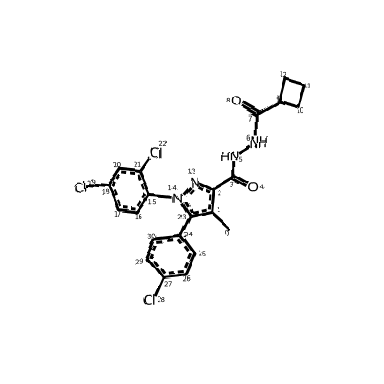 Cc1c(C(=O)NNC(=O)C2CCC2)nn(-c2ccc(Cl)cc2Cl)c1-c1ccc(Cl)cc1